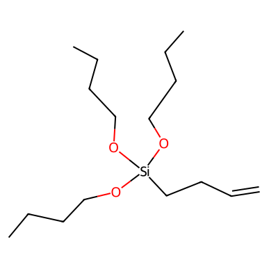 C=CCC[Si](OCCCC)(OCCCC)OCCCC